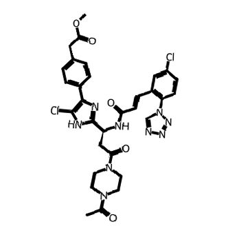 COC(=O)Cc1ccc(-c2nc([C@H](CC(=O)N3CCN(C(C)=O)CC3)NC(=O)C=Cc3cc(Cl)ccc3-n3cnnn3)[nH]c2Cl)cc1